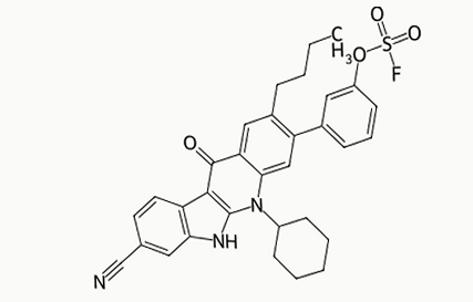 CCCCc1cc2c(=O)c3c4ccc(C#N)cc4[nH]c3n(C3CCCCC3)c2cc1-c1cccc(OS(=O)(=O)F)c1